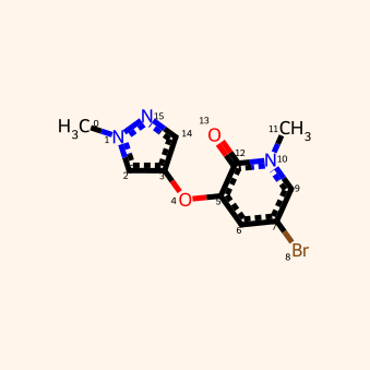 Cn1cc(Oc2cc(Br)cn(C)c2=O)cn1